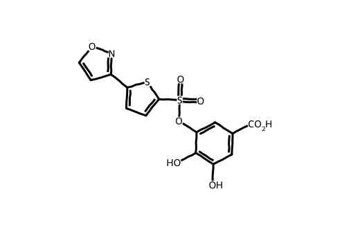 O=C(O)c1cc(O)c(O)c(OS(=O)(=O)c2ccc(-c3ccon3)s2)c1